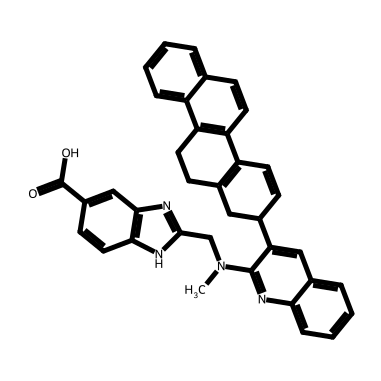 CN(Cc1nc2cc(C(=O)O)ccc2[nH]1)c1nc2ccccc2cc1C1C=CC2=C(CCc3c2ccc2ccccc32)C1